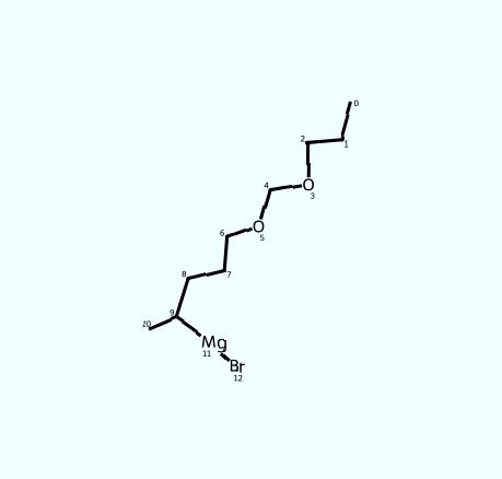 CCCOCOCCC[CH](C)[Mg][Br]